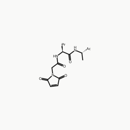 CC(=O)[C@H](C)NC(=O)[C@@H](NC(=O)CN1C(=O)C=CC1=O)C(C)C